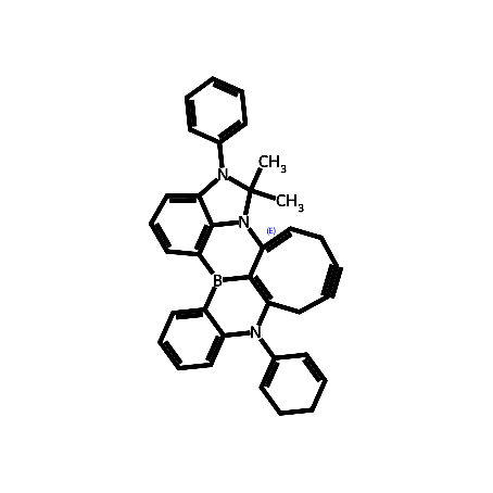 CC1(C)N2/C3=C/CC#CCC4=C3B(c3ccccc3N4C3=CCCC=C3)c3cccc(c32)N1c1ccccc1